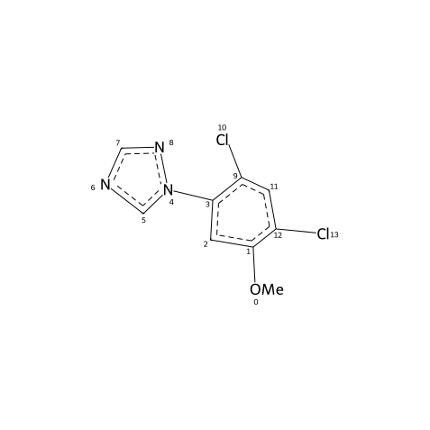 COc1cc(-n2cncn2)c(Cl)cc1Cl